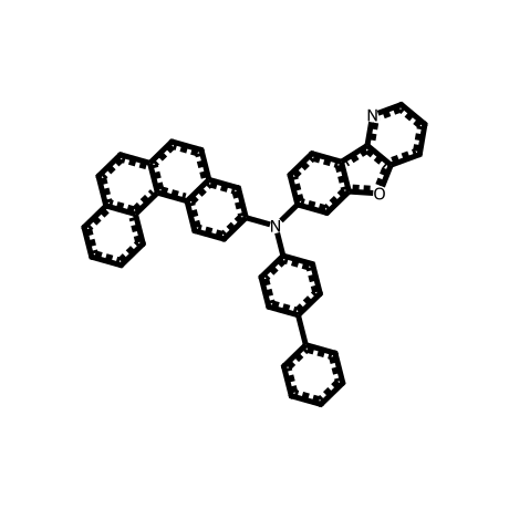 c1ccc(-c2ccc(N(c3ccc4c(ccc5ccc6ccccc6c54)c3)c3ccc4c(c3)oc3cccnc34)cc2)cc1